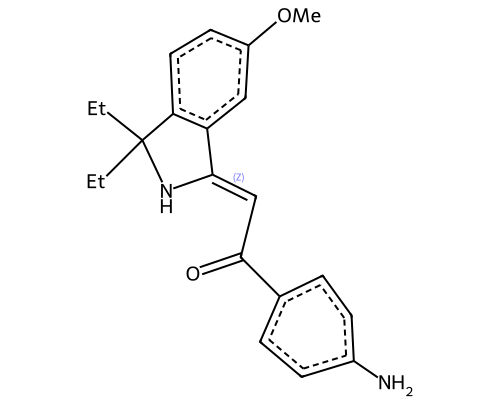 CCC1(CC)N/C(=C\C(=O)c2ccc(N)cc2)c2cc(OC)ccc21